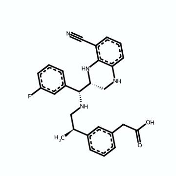 C[C@@H](CN[C@H](c1cccc(F)c1)[C@H]1CNc2cccc(C#N)c2N1)c1cccc(CC(=O)O)c1